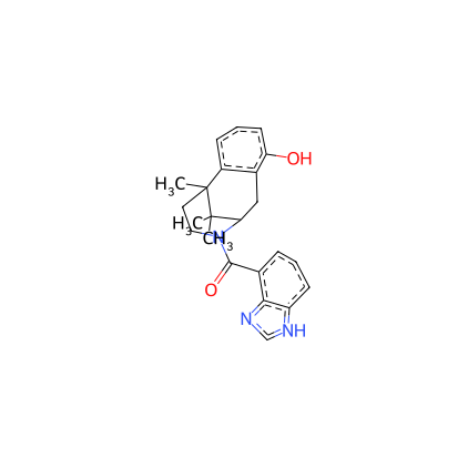 CC12CCN(C(=O)c3cccc4[nH]cnc34)C(Cc3c(O)cccc31)C2(C)C